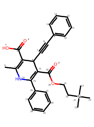 CC1=C(C(=O)O)C(C#Cc2ccccc2)C(C(=O)OCC[Si](C)(C)C)=C(c2ccccc2)N1